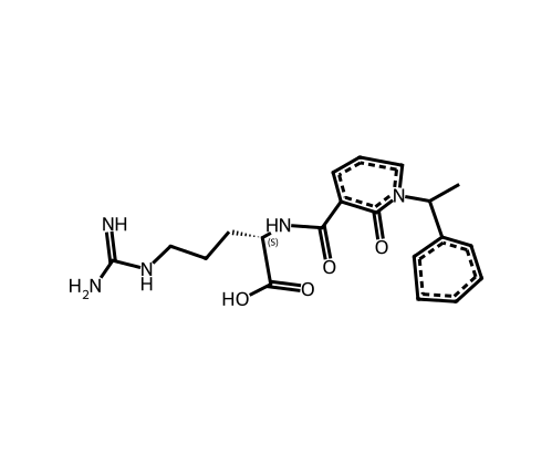 CC(c1ccccc1)n1cccc(C(=O)N[C@@H](CCCNC(=N)N)C(=O)O)c1=O